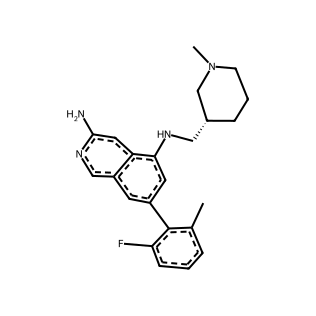 Cc1cccc(F)c1-c1cc(NC[C@H]2CCCN(C)C2)c2cc(N)ncc2c1